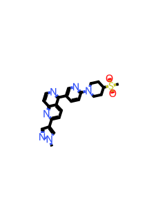 Cn1cc(-c2ccc3c(-c4ccc(N5CCC(S(C)(=O)=O)CC5)nc4)nccc3n2)cn1